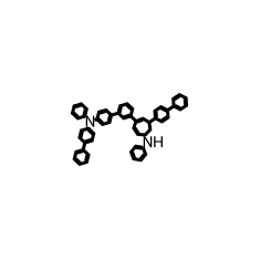 C1=CC(Nc2ccccc2)CC(c2ccc(-c3ccccc3)cc2)C=C1c1cccc(-c2ccc(N(c3ccccc3)c3ccc(-c4ccccc4)cc3)cc2)c1